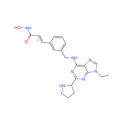 CCn1cnc2c(NCc3cccc(/C=C/C(=O)NO)c3)nc(C3CCCN3)nc21